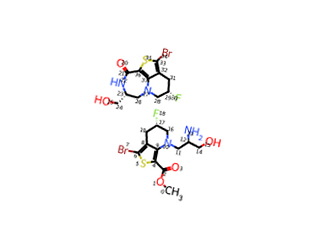 COC(=O)c1sc(Br)c2c1N(C[C@@H](N)CO)C[C@@H](F)C2.O=C1N[C@@H](CO)CN2C[C@@H](F)Cc3c(Br)sc1c32